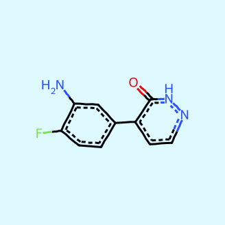 Nc1cc(-c2ccn[nH]c2=O)ccc1F